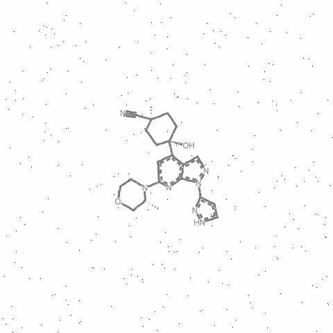 C[C@@H]1COCCN1c1cc([C@]2(O)CC[C@@](C)(C#N)CC2)c2cnn(-c3cc[nH]n3)c2n1